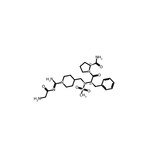 CS(=O)(=O)N(CC1CCN(C(N)=NC(=O)CN)CC1)[C@H](Cc1ccccc1)C(=O)N1CCC[C@H]1C(N)=O